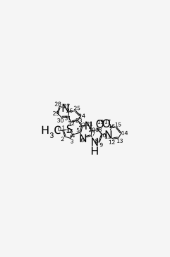 Cc1ccc(-c2nc3[nH]cc(-n4ccccc4=O)c(=O)c3nc2-c2ccc3ncccc3c2)s1